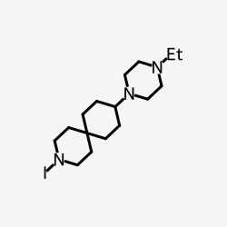 CCN1CCN(C2CCC3(CC2)CCN(I)CC3)CC1